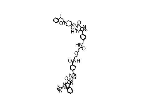 C[C@H](CC(=O)N1CCC(O)(Cn2cnc3c(-c4ccc(CNC(=O)CCOCCNC(=O)c5ccc(-c6csc(N7N=C(c8ccccc8)/C(=N\Nc8nccs8)C7=O)n6)cc5)cc4)n(C)nc3c2=O)CC1)c1ccccc1